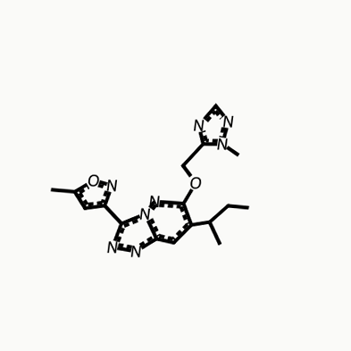 CCC(C)c1cc2nnc(-c3cc(C)on3)n2nc1OCc1ncnn1C